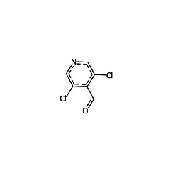 O=Cc1c(Cl)cncc1Cl